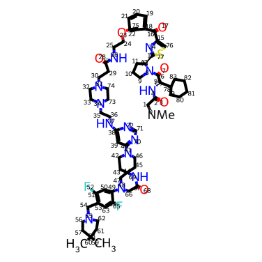 CNCC(=O)N[C@H](C(=O)N1CCC[C@H]1c1nc(C(=O)c2cccc(OCCNC(=O)CCN3CCN(CCNc4cc(N5CCC6(CC5)CN(c5cc(F)c(CN7CCC(C)(C)CC7)cc5F)CC(=O)N6)ncn4)CC3)c2)cs1)C1CCCCC1